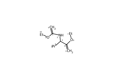 C=C(NC(C(=C)OCC)C(C)C)OCC